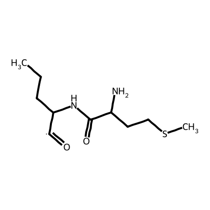 CCCC([C]=O)NC(=O)C(N)CCSC